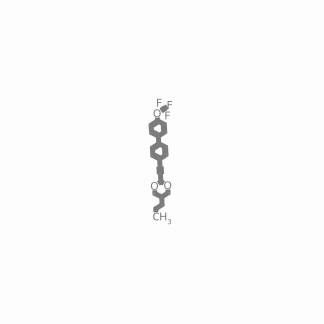 CCCC1COC(C#Cc2ccc(-c3ccc(OC(F)(F)F)cc3)cc2)OC1